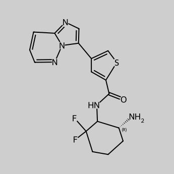 N[C@@H]1CCCC(F)(F)C1NC(=O)c1cc(-c2cnc3cccnn23)cs1